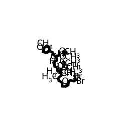 C=C(CC(C)CC1CC=CC(CC=C(Br)Br)O1)CC(/C=C\CC(OCc1ccc(OC)cc1)C1COC(C)(C)O1)O[Si](C(C)C)(C(C)C)C(C)C